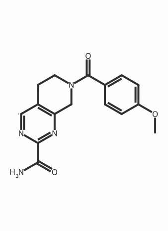 COc1ccc(C(=O)N2CCc3[c]nc(C(N)=O)nc3C2)cc1